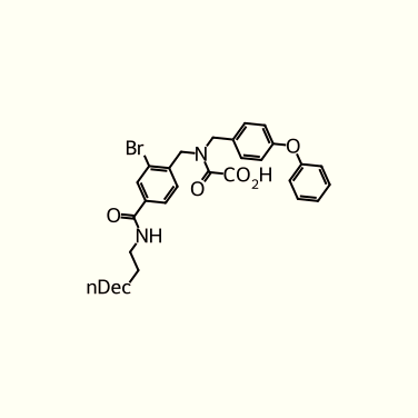 CCCCCCCCCCCCNC(=O)c1ccc(CN(Cc2ccc(Oc3ccccc3)cc2)C(=O)C(=O)O)c(Br)c1